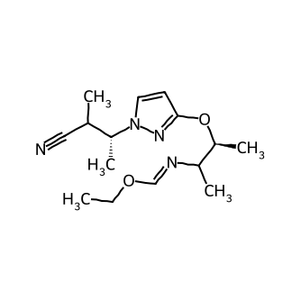 CCO/C=N/C(C)[C@H](C)Oc1ccn([C@H](C)C(C)C#N)n1